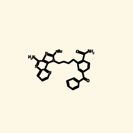 CCCCc1nc2c(N)nc3cccnc3c2n1CCCCc1cc(C(=O)c2ccccc2)ccc1C(N)=O